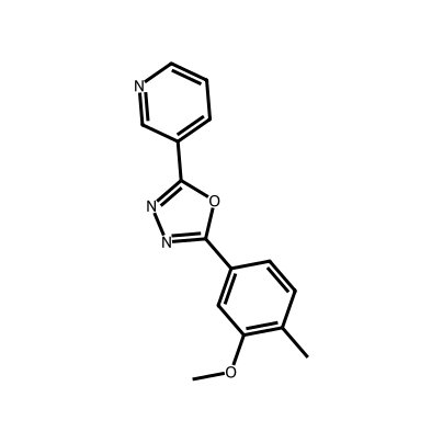 COc1cc(-c2nnc(-c3cccnc3)o2)ccc1C